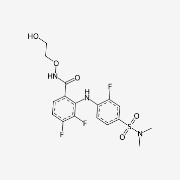 CN(C)S(=O)(=O)c1ccc(Nc2c(C(=O)NOCCO)ccc(F)c2F)c(F)c1